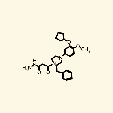 COc1ccc(N2CCN(C(=O)CC(=O)NN)C(Cc3ccccc3)C2)cc1OC1CCCC1